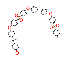 COc1ccc(C(C)(C)c2ccc(Oc3ccc(S(=O)(=O)c4ccc(Oc5ccc(-c6ccc(Oc7ccc(S(=O)(=O)c8ccc(C)cc8)cc7)cc6)cc5)cc4)cc3)cc2)cc1